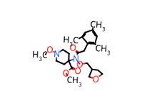 COC(=O)C1(N(OCC2CCOC2)C(=O)Cc2c(C)cc(C)cc2C)CCN(OC)CC1